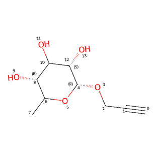 C#CCO[C@@H]1OC(C)[C@H](O)C(O)[C@@H]1O